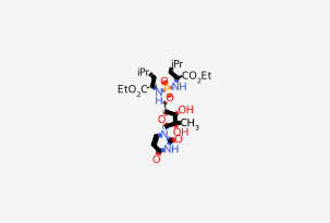 CCOC(=O)[C@H](CC(C)C)NP(=O)(N[C@@H](CC(C)C)C(=O)OCC)OC[C@H]1O[C@@H](n2ccc(=O)[nH]c2=O)C(C)(O)C1O